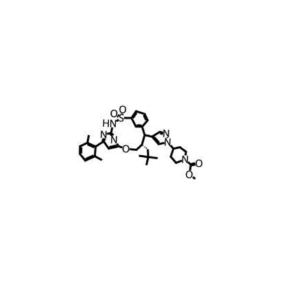 COC(=O)N1CCC(n2cc(C3c4cccc(c4)S(=O)(=O)Nc4nc(cc(-c5c(C)cccc5C)n4)OC[C@H]3CC(C)(C)C)cn2)CC1